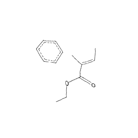 C/C=C(\C)C(=O)OCC.c1ccccc1